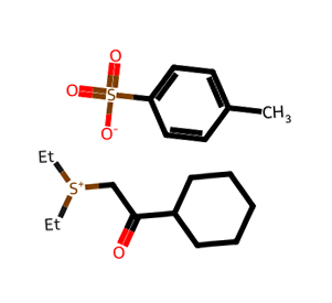 CC[S+](CC)CC(=O)C1CCCCC1.Cc1ccc(S(=O)(=O)[O-])cc1